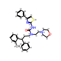 Cc1ccccc1C(CCN(CCN1CCOCC1)C(=O)Nc1nc(-c2ccccc2)cs1)c1ccccc1